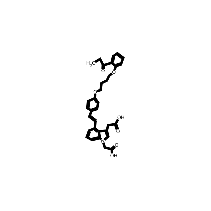 CCC(=O)c1ccccc1OCCCCOc1ccc(/C=C/c2cccc3c2c(CC(=O)O)cn3CC(=O)O)cc1